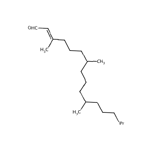 C/C(=C\C=O)CCCC(C)CCCC(C)CCCC(C)C